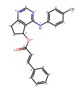 N#Cc1ccc(Nc2ncnc3c2C(OC(=O)/C=C/c2ccccc2)CC3)cc1